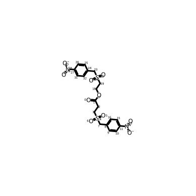 O=C([CH]CS(=O)(=O)Cc1ccc([N+](=O)[O-])cc1)OCCS(=O)(=O)Cc1ccc([N+](=O)[O-])cc1